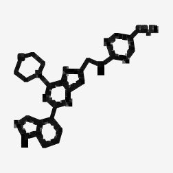 CCOC(=O)c1cnc(NCc2cc3nc(-c4cccc5[nH]ncc45)nc(N4CCOCC4)c3s2)nc1